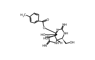 Cc1ccc(C(=O)OC2CN3C(=N)N[C@@H](CO)[C@@H]4NC(=N)NC43C2(O)O)cc1